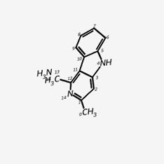 Cc1cc2[nH]c3ccccc3c2c(C)n1.N